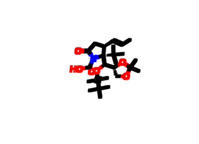 CC=C[C@@H]1CC(=O)N(C(=O)O)[C@@]1([C@H](O[Si](C)(C)C(C)(C)C)[C@H]1COC(C)(C)O1)C(C)(C)C